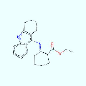 CCOC(=O)C1CCCCC1=Nc1c2c(nc3ccccc13)CCCC2